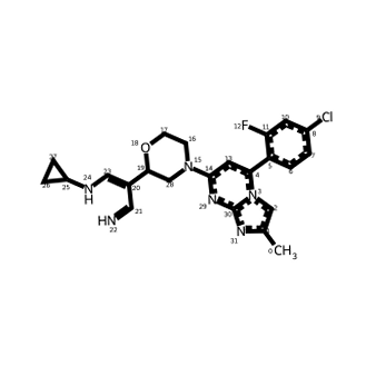 Cc1cn2c(-c3ccc(Cl)cc3F)cc(N3CCOC(/C(C=N)=C/NC4CC4)C3)nc2n1